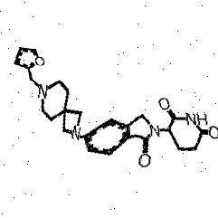 O=C1CCC(N2Cc3cc(N4CC5(CCN(Cc6ccco6)CC5)C4)ccc3C2=O)C(=O)N1